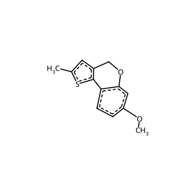 COc1ccc2c(c1)OCc1cc(C)sc1-2